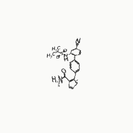 CC(C)S(=O)(=O)Nc1cc(C#N)ccc1-c1ccc(-c2sccc2C(N)=O)cc1